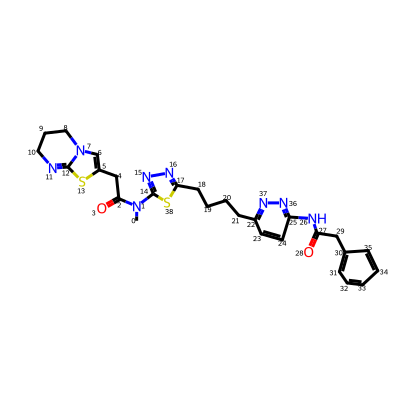 CN(C(=O)CC1=CN2CCCN=C2S1)c1nnc(CCCCc2ccc(NC(=O)Cc3ccccc3)nn2)s1